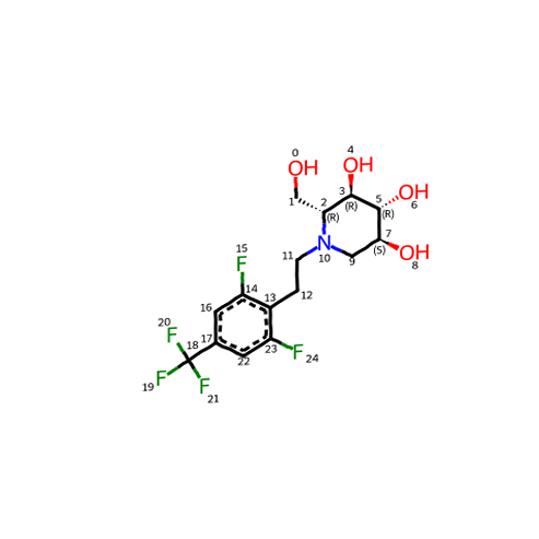 OC[C@@H]1[C@@H](O)[C@H](O)[C@@H](O)CN1CCc1c(F)cc(C(F)(F)F)cc1F